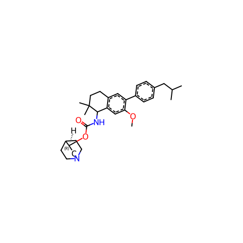 COc1cc2c(cc1-c1ccc(CC(C)C)cc1)CCC(C)(C)C2NC(=O)O[C@H]1CN2CCC1CC2